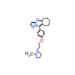 CC1CCCN1CCCOc1ccc(-c2c3c(nc4ccnn24)CCCCC3)cc1